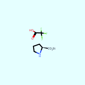 CCOC(=O)[C@@H]1CCCN1.O=C(O)C(F)(F)F